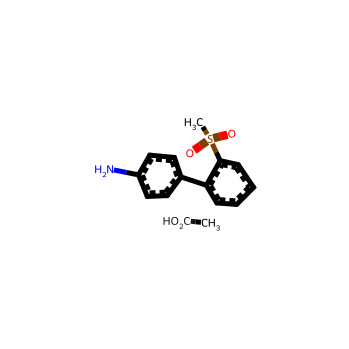 CC(=O)O.CS(=O)(=O)c1ccccc1-c1ccc(N)cc1